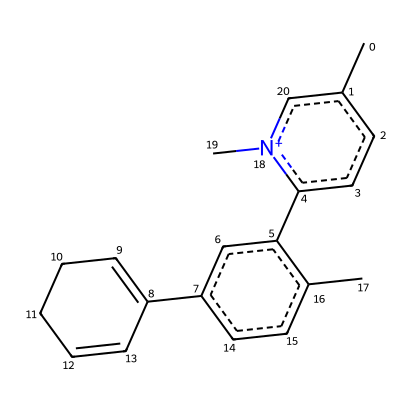 Cc1ccc(-c2cc(C3=CCCC=C3)ccc2C)[n+](C)c1